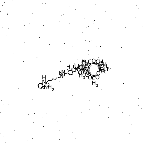 CC[C@H]1OC(=O)[C@H](C)C(=O)[C@H](C)[C@@H](O[C@@H]2O[C@H](C)C[C@H](N(C)Cc3ccc(-c4cn(CCCCCCC(=O)Nc5ccccc5N)nn4)cc3)[C@H]2OC(C)=O)[C@](C)(OC)C[C@@H](C)C(=O)[C@H](C)[C@@H](O)[C@]1(C)O